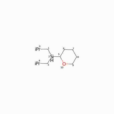 CC(C)C[SiH](CC(C)C)C1CCCCO1